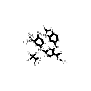 COC(=O)c1cnc(Nc2ccc(C)c(N(C)C)c2)nc1Nc1ccc2oc(=O)[nH]c2c1.O=C(O)C(F)(F)F